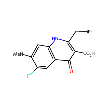 CNc1cc2[nH]c(CC(C)C)c(C(=O)O)c(=O)c2cc1F